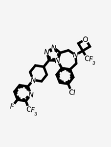 Fc1ccc(N2CCC(c3nnc4n3-c3ccc(Cl)cc3CN(C3(C(F)(F)F)COC3)C4)CC2)nc1C(F)(F)F